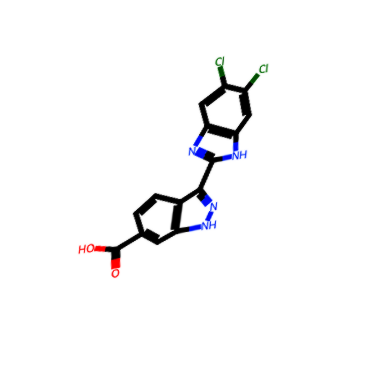 O=C(O)c1ccc2c(-c3nc4cc(Cl)c(Cl)cc4[nH]3)n[nH]c2c1